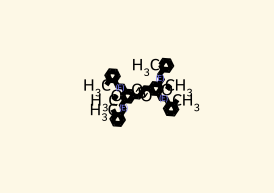 COc1c(/C=C/c2ccccc2C)cc(CS(=O)(=O)Cc2cc(/C=C/c3ccccc3C)c(OC)c(/C=C/c3ccccc3C)c2)cc1/C=C/c1ccccc1C